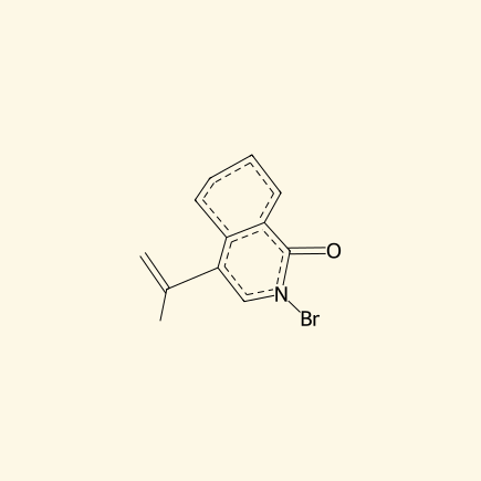 C=C(C)c1cn(Br)c(=O)c2ccccc12